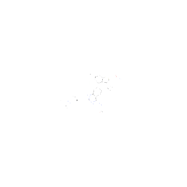 [2H]C([2H])([2H])N1CC[C@H](C(F)F)[C@](C)(COc2nc(N3CCOC[C@@](C)(O)C3)c3cc(C#N)c(-c4c(F)c(C(C)(C)C)cc5sc(OC(N)=O)c(C#N)c45)c(F)c3n2)C1